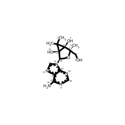 CC1(C)[C@]2(O)[C@@](C)(CO)O[C@@H](n3cnc4c(N)ncnc43)[C@]12O